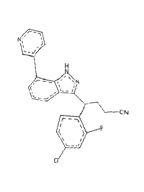 N#CCCC(c1ccc(Cl)cc1F)c1n[nH]c2c(-c3cccnc3)cccc12